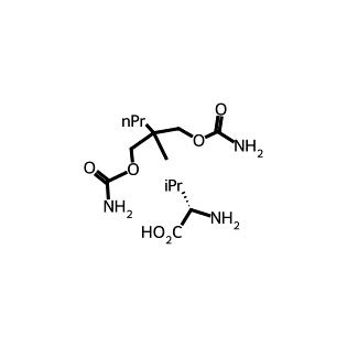 CC(C)[C@H](N)C(=O)O.CCCC(C)(COC(N)=O)COC(N)=O